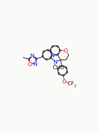 Cc1nc(-c2cccc(N(C=O)C3(c4ccc(OC(F)(F)F)cc4)CCOc4cccnc43)c2)no1